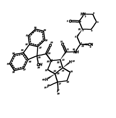 N#C[C@H](C[C@H]1CCCNC1=O)NC(=O)[C@@H]1[C@H]2CCC(F)(F)[C@H]2CN1C(=O)C1(O)c2ccccc2-c2ccccc21